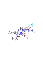 CC(=O)Nc1cc(C(C)NC(=O)/C(N)=C/C(C)=C(\N)OCC(F)(F)C(F)F)cc(C)n1